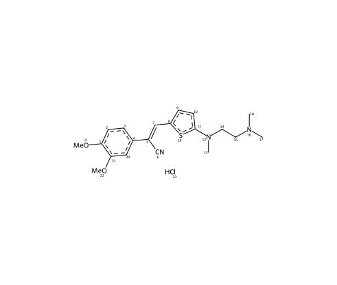 COc1ccc(C(C#N)=Cc2ccc(N(C)CCN(C)C)s2)cc1OC.Cl